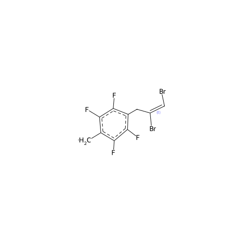 [CH2]c1c(F)c(F)c(C/C(Br)=C\Br)c(F)c1F